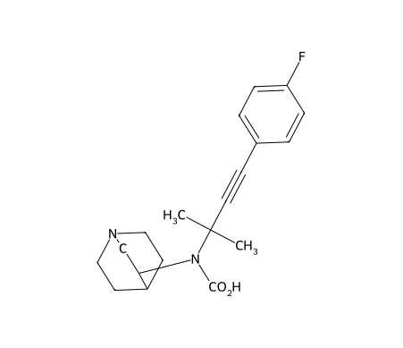 CC(C)(C#Cc1ccc(F)cc1)N(C(=O)O)C1CN2CCC1CC2